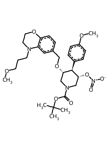 COCCCN1CCOc2ccc(CO[C@H]3CN(C(=O)OC(C)(C)C)C[C@@H](O[N+](=O)[O-])[C@@H]3c3ccc(OC)cc3)cc21